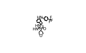 N=C1N[C@]2(CC(=O)N1C1CCOCC1)Cc1c(Nc3ccc(C(F)(F)F)cc3)cccc12